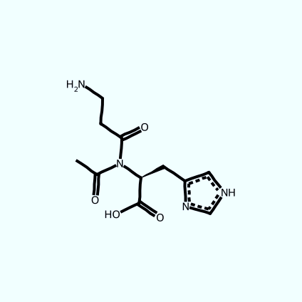 CC(=O)N(C(=O)CCN)[C@@H](Cc1c[nH]cn1)C(=O)O